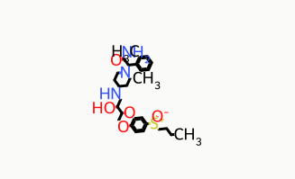 CCCC[S+]([O-])c1ccc2c(c1)OC(C(O)CNC1CCN(C(C(N)=O)c3c(C)cccc3C)CC1)CO2